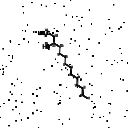 C/C=C/C=C/CCCCCCC(O)CC(=O)O